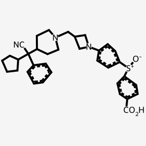 N#CC(c1ccccc1)(C1CCCC1)C1CCN(CC2CN(c3ccc([S+]([O-])c4ccc(C(=O)O)cc4)cc3)C2)CC1